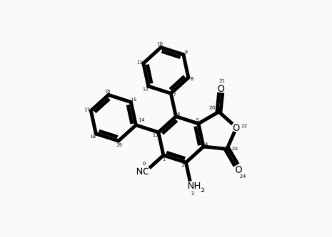 N#Cc1c(N)c2c(c(-c3ccccc3)c1-c1ccccc1)C(=O)OC2=O